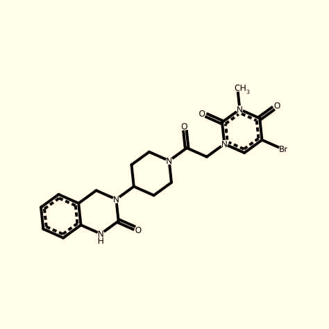 Cn1c(=O)c(Br)cn(CC(=O)N2CCC(N3Cc4ccccc4NC3=O)CC2)c1=O